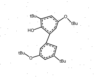 CC(C)(C)Oc1cc(-c2cc(OC(C)(C)C)cc(C(C)(C)C)c2O)cc(C(C)(C)C)c1